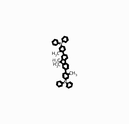 Cc1cc(N(c2ccccc2)c2ccccc2)ccc1-c1ccc2c(c1)C(C)(C)c1cc(-c3ccc(N(c4ccccc4)c4ccccc4)cc3C)ccc1-2